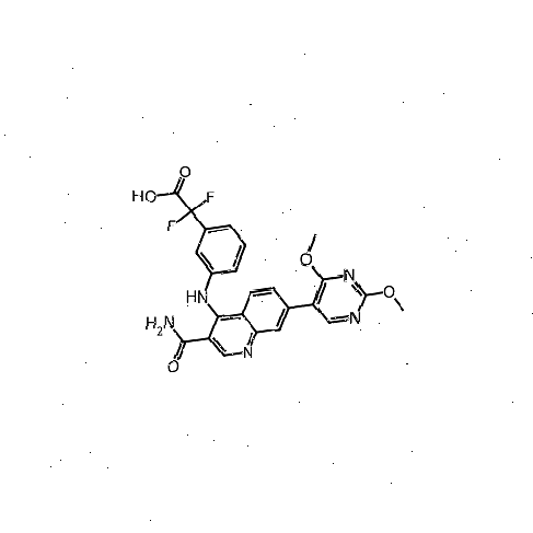 COc1ncc(-c2ccc3c(Nc4cccc(C(F)(F)C(=O)O)c4)c(C(N)=O)cnc3c2)c(OC)n1